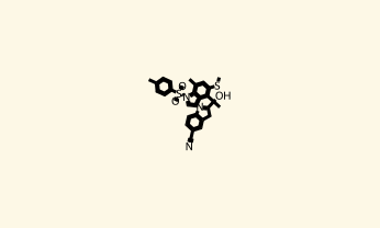 CSc1cc(C)c2c(ccn2S(=O)(=O)c2ccc(C)cc2)c1C(C)(O)C1=Nc2ccc(C#N)cc2C1